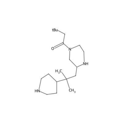 CC(C)(C)CC(=O)N1CCNC(CC(C)(C)C2CCNCC2)C1